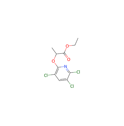 CCOC(=O)C(C)Oc1nc(Cl)c(Cl)cc1Cl